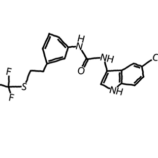 O=C(Nc1cccc(CCSC(F)(F)F)c1)Nc1c[nH]c2ccc(Cl)cc12